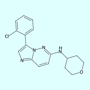 Clc1ccccc1-c1cnc2ccc(NC3CCOCC3)nn12